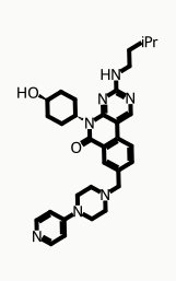 CC(C)CCNc1ncc2c3ccc(CN4CCN(c5ccncc5)CC4)cc3c(=O)n([C@H]3CC[C@H](O)CC3)c2n1